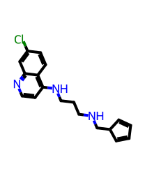 Clc1ccc2c(NCCCNCC3C=CC=C3)ccnc2c1